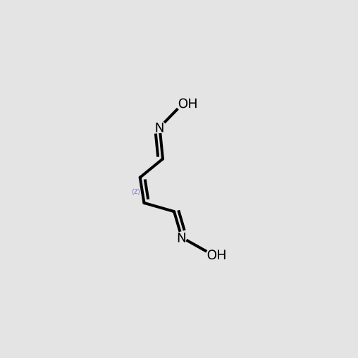 ON=C/C=C\C=NO